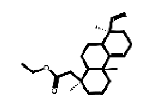 C=C[C@@]1(C)CCC=C2C1CCC1[C@](C)(CC(=O)OCC)CCC[C@@]21C